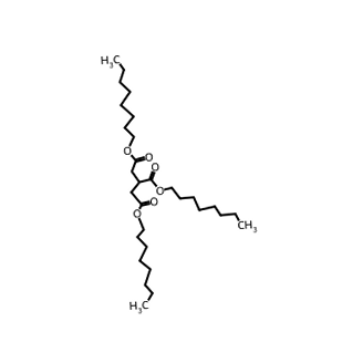 CCCCCCCCOC(=O)CC(CC(=O)OCCCCCCCC)C(=O)OCCCCCCCC